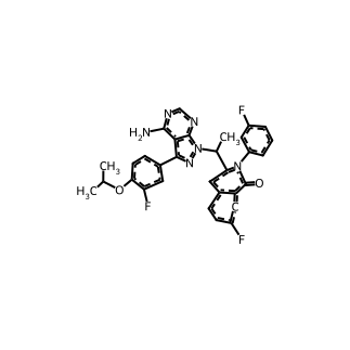 CC(C)Oc1ccc(-c2nn(C(C)c3cc4ccc(F)cc4c(=O)n3-c3cccc(F)c3)c3ncnc(N)c23)cc1F